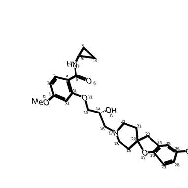 COc1ccc(C(=O)NC2CC2)c(OC[C@H](O)CN2CCC3(CC2)Cc2cc(Cl)ccc2O3)c1